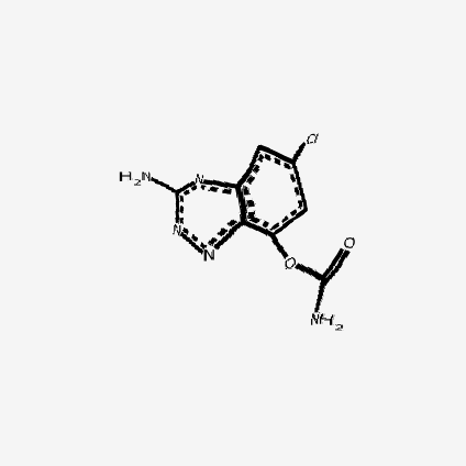 NC(=O)Oc1cc(Cl)cc2nc(N)nnc12